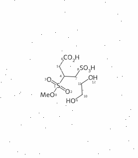 COS(=O)(=O)C(CC(=O)O)CS(=O)(=O)O.OCCO